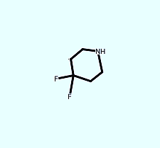 FC1(F)[CH]CNCC1